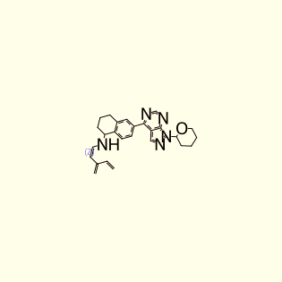 C=CC(=C)/C=C\NC1CCCc2cc(-c3ncnc4c3cnn4C3CCCCO3)ccc21